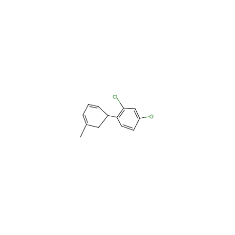 CC1=CC=CC(c2ccc(Cl)cc2Cl)C1